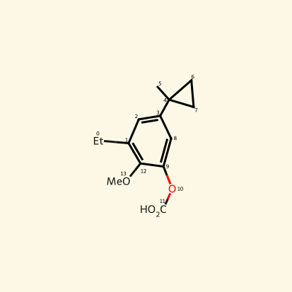 CCc1cc(C2(C)CC2)cc(OC(=O)O)c1OC